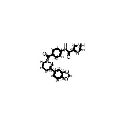 O=C(Nc1ccc(C(=O)N2CCCC(c3ccc4c(c3)OCO4)=N2)cc1)c1c[nH]cn1